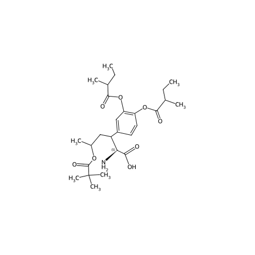 CCC(C)C(=O)Oc1ccc(C(CC(C)OC(=O)C(C)(C)C)[C@H](N)C(=O)O)cc1OC(=O)C(C)CC